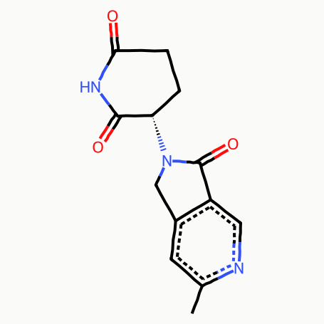 Cc1cc2c(cn1)C(=O)N([C@H]1CCC(=O)NC1=O)C2